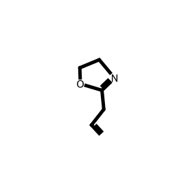 C=CCC1=NCCO1